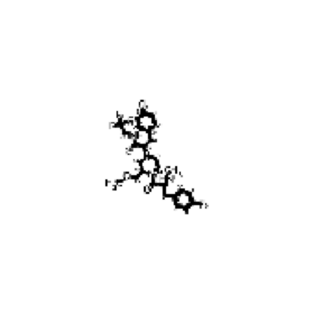 CNC(Cc1ccc(F)cc1)C(=O)N1CCN(C(Cc2ccc(Cl)cc2)C(=O)NCC(F)(F)F)CC1COC